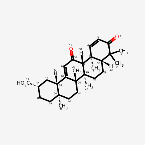 CC1(C)C(=O)C=C[C@]2(C)[C@H]3C(=O)C=C4[C@H]5C[C@@H](C(=O)O)CC[C@]5(C)CC[C@@]4(C)[C@]3(C)CC[C@@H]12